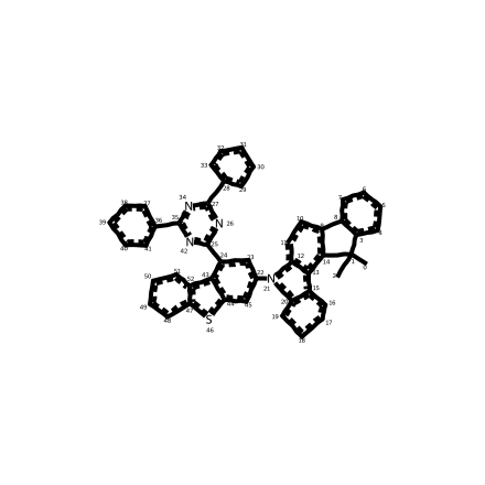 CC1(C)c2ccccc2-c2ccc3c(c21)c1ccccc1n3-c1cc(-c2nc(-c3ccccc3)nc(-c3ccccc3)n2)c2c(c1)sc1ccccc12